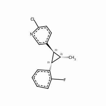 C[C@H]1[C@H](c2ccc(Cl)nc2)[C@H]1c1ccccc1F